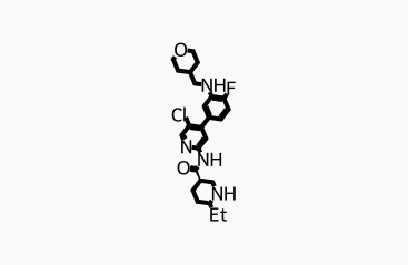 CCC1CC[C@@H](C(=O)Nc2cc(-c3ccc(F)c(NCC4CCOCC4)c3)c(Cl)cn2)CN1